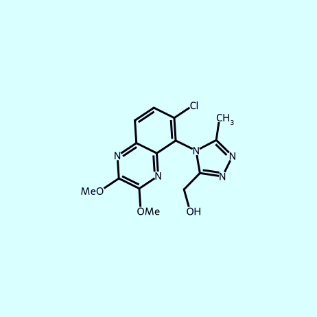 COc1nc2ccc(Cl)c(-n3c(C)nnc3CO)c2nc1OC